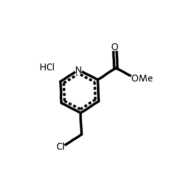 COC(=O)c1cc(CCl)ccn1.Cl